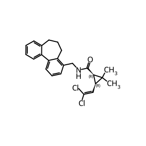 CC1(C)[C@H](C(=O)NCc2cccc3c2CCCc2ccccc2-3)[C@@H]1C=C(Cl)Cl